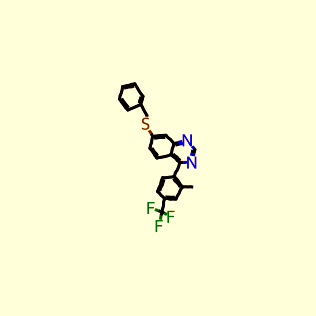 Cc1cc(C(F)(F)F)ccc1-c1ncnc2cc(SCc3ccccc3)ccc12